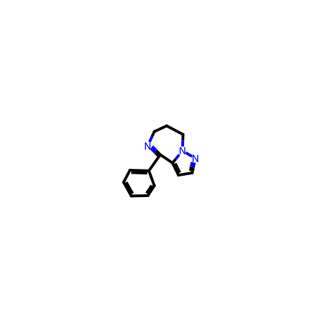 c1ccc(C2=NCCCn3nccc32)cc1